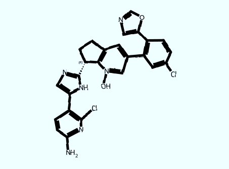 Nc1ccc(-c2cnc([C@@H]3CCc4cc(-c5cc(Cl)ccc5-c5cnco5)c[n+](O)c43)[nH]2)c(Cl)n1